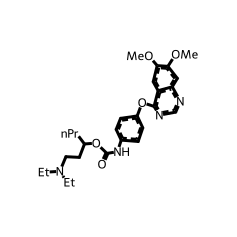 CCCC(CCN(CC)CC)OC(=O)Nc1ccc(Oc2ncnc3cc(OC)c(OC)cc23)cc1